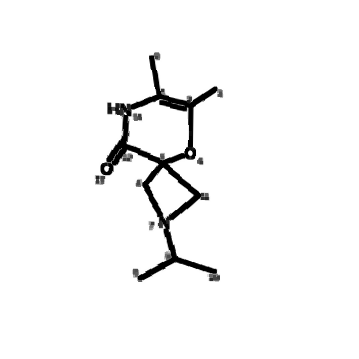 CC1=C(C)OC2(CN(C(C)C)C2)C(=O)N1